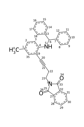 Cc1ccc(NC(c2ccccc2)c2ccccc2)c(C#CCCN2C(=O)c3ccccc3C2=O)c1